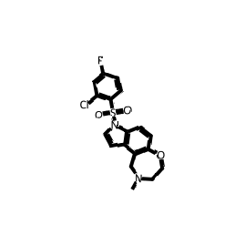 CN1CCOc2ccc3c(ccn3S(=O)(=O)c3ccc(F)cc3Cl)c2C1